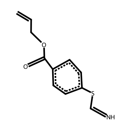 C=CCOC(=O)c1ccc(SC=N)cc1